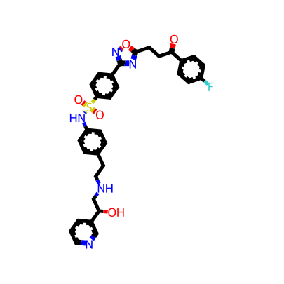 O=C(CCc1nc(-c2ccc(S(=O)(=O)Nc3ccc(CCNCC(O)c4cccnc4)cc3)cc2)no1)c1ccc(F)cc1